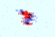 Nc1ncnc2c1ncn2[C@@H]1O[C@H](COP(=O)(O)O)[C@@H](O)[C@H]1O.Nc1ncnc2c1ncn2[C@@H]1O[C@H](COP(=O)(O)OP(=O)(O)O)[C@@H](O)[C@H]1O.Nc1ncnc2c1ncn2[C@@H]1O[C@H](COP(=O)(O)OP(=O)(O)OP(=O)(O)O)[C@@H](O)[C@H]1O.O=c1[nH]cnc2nc[nH]c12.OC[C@H]1O[C@@H](n2cnc3c(O)ncnc32)[C@H](O)[C@@H]1O